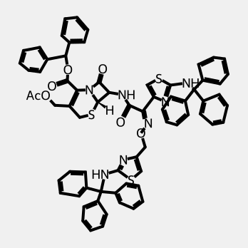 CC(=O)OCC1=C(C(=O)OC(c2ccccc2)c2ccccc2)N2C(=O)C(NC(=O)/C(=N\OCc3csc(NC(c4ccccc4)(c4ccccc4)c4ccccc4)n3)c3csc(NC(c4ccccc4)(c4ccccc4)c4ccccc4)n3)[C@@H]2SC1